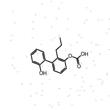 CCCc1c(OC(=O)O)cccc1-c1ccccc1O